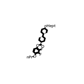 CCCCCCC[C@H]1CC[C@H]([C@H]2CC[C@H](C(=O)Oc3ccc(OCCC)c(F)c3F)CC2)CC1